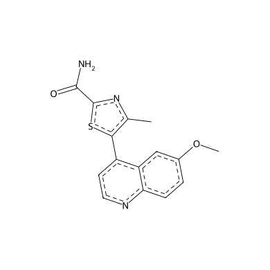 COc1ccc2nccc(-c3sc(C(N)=O)nc3C)c2c1